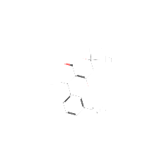 CCCC1(CCC)CC(O)=C(C(CC)c2cccc([N+](=O)[O-])c2)C(=O)O1